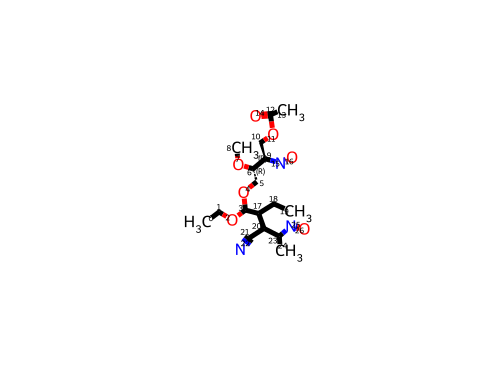 CCOC(OC[C@H](OC)[C@@H](COC(C)=O)N=O)C(CC)C(C#N)C(C)N=O